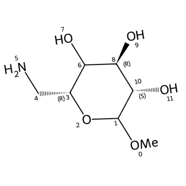 COC1O[C@H](CN)C(O)[C@@H](O)[C@@H]1O